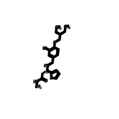 CCC(CC)COc1ccc(CN[C@@H](CC(=O)NC)c2cccs2)cc1Cl